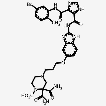 Cc1ccc(Br)cc1NC(=O)c1nc[nH]c1C(=O)Nc1nc2cc(OCCCN3CCN(C(=O)O)C(C(N)=O)(C(N)=O)C3)ccc2[nH]1